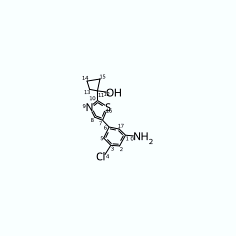 Nc1cc(Cl)cc(-c2cnc(C3(O)CCC3)s2)c1